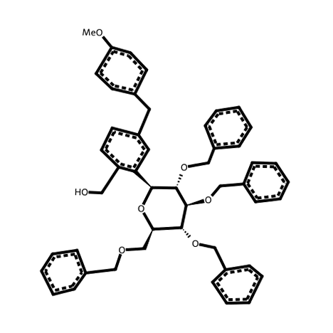 COc1ccc(Cc2ccc(CO)c([C@@H]3O[C@H](COCc4ccccc4)[C@@H](OCc4ccccc4)[C@H](OCc4ccccc4)[C@H]3OCc3ccccc3)c2)cc1